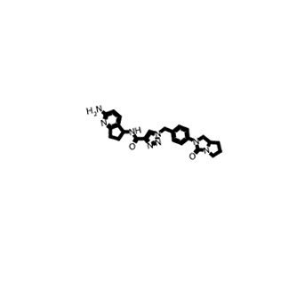 Nc1ccc2c(n1)CCC2NC(=O)c1cn(Cc2ccc(N3CC4CCCN4C3=O)cc2)nn1